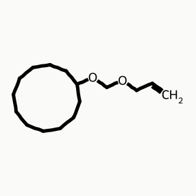 C=CCOCOC1CCCCCCCCCCC1